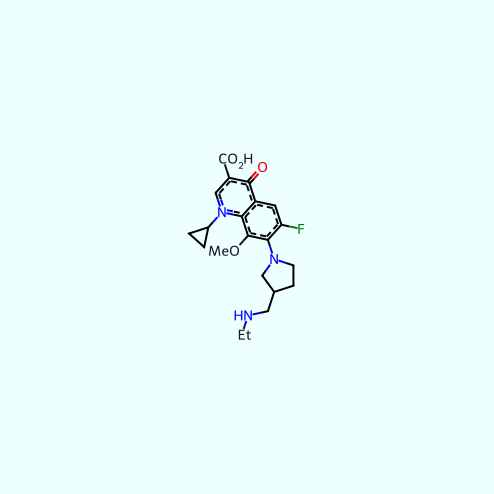 CCNCC1CCN(c2c(F)cc3c(=O)c(C(=O)O)cn(C4CC4)c3c2OC)C1